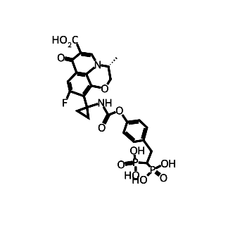 C[C@@H]1COc2c(C3(NC(=O)Oc4ccc(CC(P(=O)(O)O)P(=O)(O)O)cc4)CC3)c(F)cc3c(=O)c(C(=O)O)cn1c23